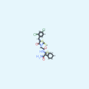 NC(=O)c1c(NC(=O)CN2C(=O)/C(=C/c3ccc(Cl)cc3Cl)SC2=S)sc2c1CCCC2